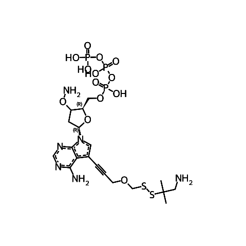 CC(C)(CN)SSCOCC#Cc1cn([C@H]2CC(ON)[C@@H](COP(=O)(O)OP(=O)(O)OP(=O)(O)O)O2)c2ncnc(N)c12